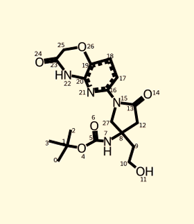 CC(C)(C)OC(=O)NC1(CCO)CC(=O)N(c2ccc3c(n2)NC(=O)CO3)C1